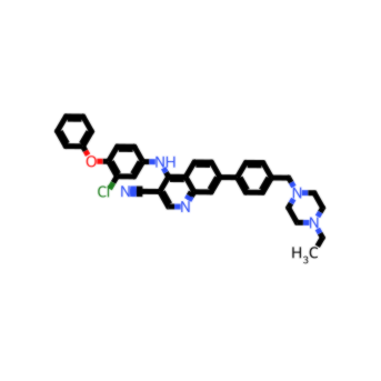 CCN1CCN(Cc2ccc(-c3ccc4c(Nc5ccc(Oc6ccccc6)c(Cl)c5)c(C#N)cnc4c3)cc2)CC1